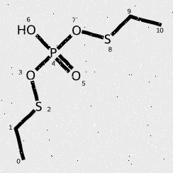 CCSOP(=O)(O)OSCC